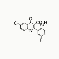 Cn1c(-c2cc(F)ccc2F)c(C(=O)O)c(=O)c2cc(Cl)ccc21